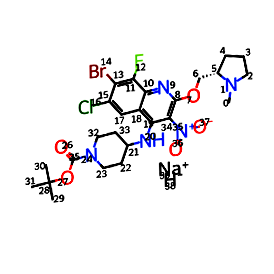 CN1CCC[C@H]1COc1nc2c(F)c(Br)c(Cl)cc2c(NC2CCN(C(=O)OC(C)(C)C)CC2)c1[N+](=O)[O-].[H-].[Na+]